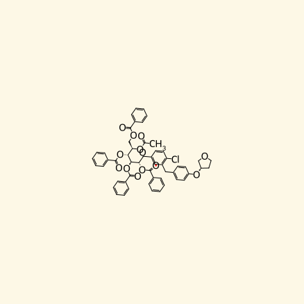 CC(=O)O[C@H](COC(=O)c1ccccc1)[C@@H](OC(=O)c1ccccc1)[C@H](OC(=O)c1ccccc1)[C@@H](OC(=O)c1ccccc1)C(=O)c1ccc(Cl)c(Cc2ccc(O[C@@H]3CCOC3)cc2)c1